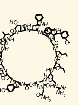 CCCC[C@H]1C(=O)N(C)[C@@H](CCCC)C(=O)NC(CCCNC(=N)N)C(=O)N[C@H](C(=O)NCC(N)=O)CSCC(=O)N[C@@H](Cc2ccc(O)cc2)C(=O)N(C)[C@@H](C)C(=O)N[C@@H](CC(N)=O)C(=O)N2CCC[C@H]2C(=O)N[C@@H](CN)C(=O)N[C@@H](CC(C)C)C(=O)N2C[C@H](O)C[C@H]2C(=O)N[C@@H](Cc2c[nH]c3ccccc23)C(=O)N[C@@H](CO)C(=O)N[C@@H](Cc2c(-c3cccc(OC)c3)[nH]c3ccccc23)C(=O)N1C